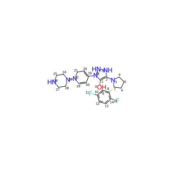 OC1=C(N2CCC[C@@H]2c2cc(F)ccc2F)NNN1C1=CCN(N2CCNCC2)C=C1